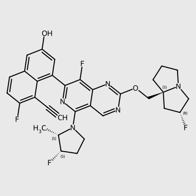 C#Cc1c(F)ccc2cc(O)cc(-c3nc(N4CC[C@H](F)[C@@H]4C)c4cnc(OC[C@@]56CCCN5C[C@H](F)C6)nc4c3F)c12